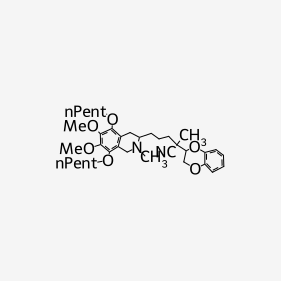 CCCCCOc1c2c(c(OCCCCC)c(OC)c1OC)CN(C)C(CCCC(C)(C#N)C1COc3ccccc3O1)C2